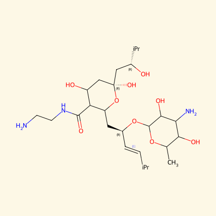 CC(C)/C=C/[C@@H](CC1O[C@](O)(C[C@@H](O)C(C)C)CC(O)C1C(=O)NCCN)OC1OC(C)C(O)C(N)C1O